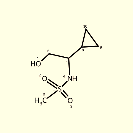 CS(=O)(=O)NC(CO)C1CC1